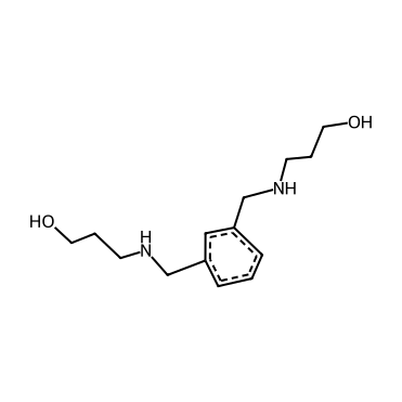 OCCCNCc1cccc(CNCCCO)c1